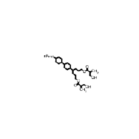 C=C(CO)C(=O)OCCCC(CCCOC(=O)C(=C)CO)C1CCC(C2CCC(CCCCC)CC2)CC1